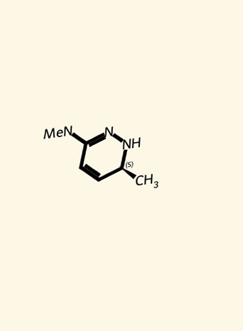 CNC1=NN[C@@H](C)C=C1